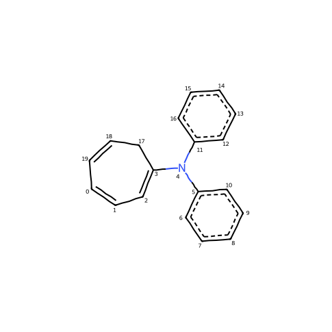 C1=CC=C(N(c2ccccc2)c2ccccc2)CC=C1